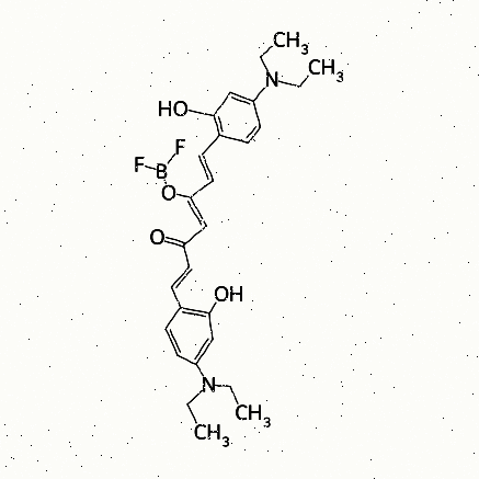 CCN(CC)c1ccc(/C=C/C(=O)/C=C(/C=C/c2ccc(N(CC)CC)cc2O)OB(F)F)c(O)c1